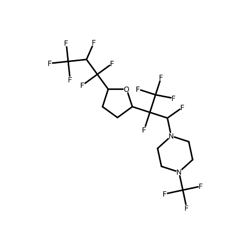 FC(C(F)(F)F)C(F)(F)C1CCC(C(F)(C(F)N2CCN(C(F)(F)F)CC2)C(F)(F)F)O1